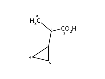 CC(C(=O)O)C1CC1